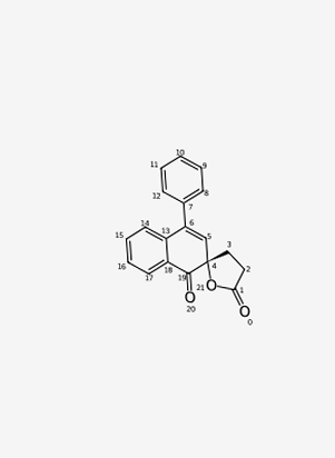 O=C1CC[C@@]2(C=C(c3ccccc3)c3ccccc3C2=O)O1